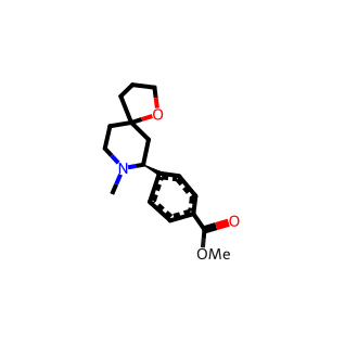 COC(=O)c1ccc([C@@H]2CC3(CCCO3)CCN2C)cc1